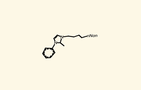 CCCCCCCCCCCCCN1C=CN(c2ccccc2)C1C